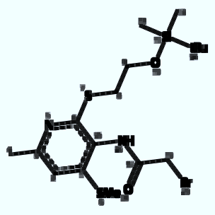 CSc1cc(C)nc(SCCO[Si](C)(C)C(C)(C)C)c1NC(=O)CBr